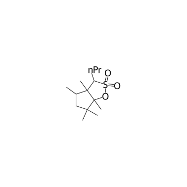 CCCC1C2(C)C(C)CC(C)(C)C2(C)OS1(=O)=O